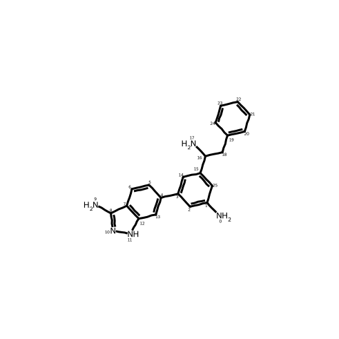 Nc1cc(-c2ccc3c(N)n[nH]c3c2)cc(C(N)Cc2ccccc2)c1